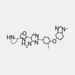 Cc1cc(-c2ncc(-c3nc(C4CCCN4)co3)c(N)n2)ccc1Oc1ccc2c(c1)ncn2C